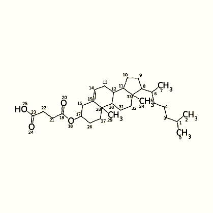 CC(C)CCCC(C)C1CCC2C3CC=C4CC(OC(=O)CCC(=O)O)CCC4(C)C3CCC12C